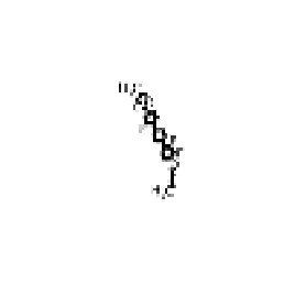 C=CCCCOc1ccc(-c2ccc(-c3ccc(C4OCC(C)CO4)cc3F)cc2)c(F)c1F